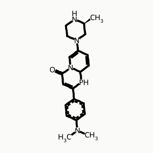 C[C@H]1CN(C2=CN3C(=O)C=C(c4ccc(N(C)C)cc4)PC3C=C2)CCN1